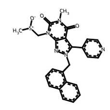 Cn1c(=O)c2c(-c3ccncc3)n(Cc3cccc4ccccc34)nc2n(C[S+](C)[O-])c1=O